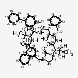 CC(C)(C)[C@H](NC(=O)O)C(=O)N[C@H](Cc1ccc(-c2ccccn2)cc1)C[C@H](O)[C@H](Cc1ccccc1)NC(=O)[C@@H](N1CCN(Cc2ccnc3ccccc23)C1=O)C(C)(C)C